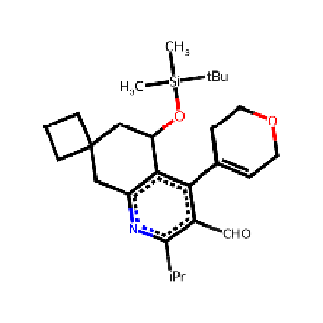 CC(C)c1nc2c(c(C3=CCOCC3)c1C=O)C(O[Si](C)(C)C(C)(C)C)CC1(CCC1)C2